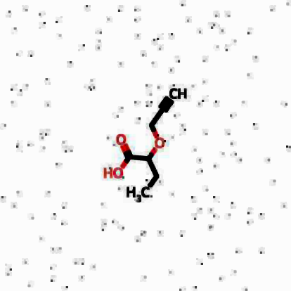 C#CCOC(CC)C(=O)O